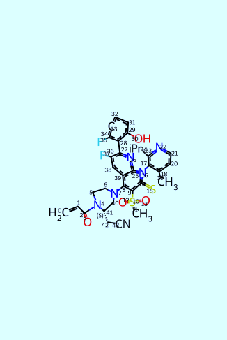 C=CC(=O)N1CCN(c2c(S(C)(=O)=O)c(=S)n(-c3c(C)ccnc3C(C)C)c3nc(-c4c(O)cccc4F)c(F)cc23)C[C@@H]1CC#N